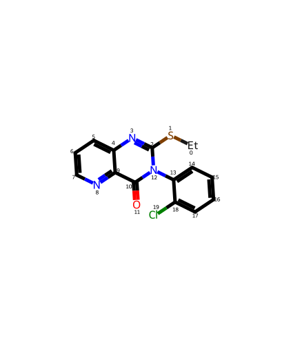 CCSc1nc2cccnc2c(=O)n1-c1ccccc1Cl